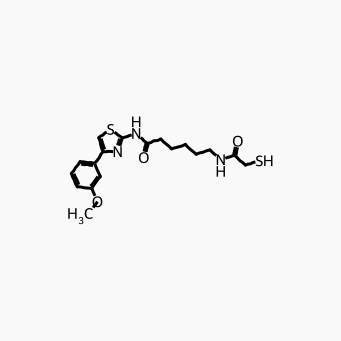 COc1cccc(-c2csc(NC(=O)CCCCCNC(=O)CS)n2)c1